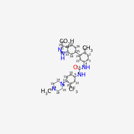 Cc1ccc(NC(=O)Nc2ccc(N3CCN(C)CC3)c(C(F)(F)F)c2)cc1-c1ccc2c(C(=O)O)n[nH]c2c1